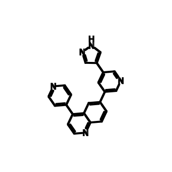 c1cc(-c2ccnc3ccc(-c4cncc(-c5cn[nH]c5)c4)cc23)ccn1